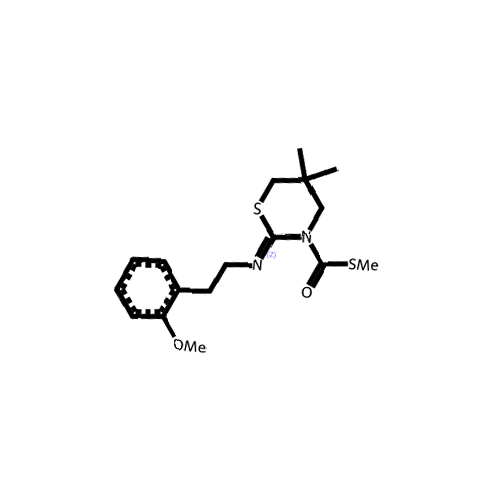 COc1ccccc1CC/N=C1\SCC(C)(C)CN1C(=O)SC